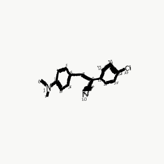 CN(C)c1ccc(/C=C(\C#N)c2ccc(Cl)cc2)cc1